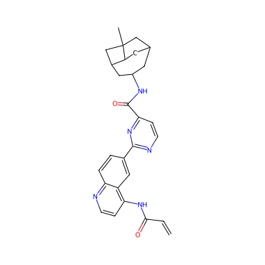 C=CC(=O)Nc1ccnc2ccc(-c3nccc(C(=O)NC4CC5CC6C(C4)CC6(C)C5)n3)cc12